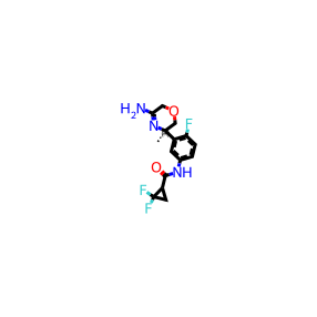 C[C@@]1(c2cc(NC(=O)C3CC3(F)F)ccc2F)COCC(N)=N1